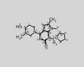 Cc1nc2c(N3CC[C@@H](O)[C@H](C)C3)nc(=O)n(C)c2n1C[C@@H]1CCCO1